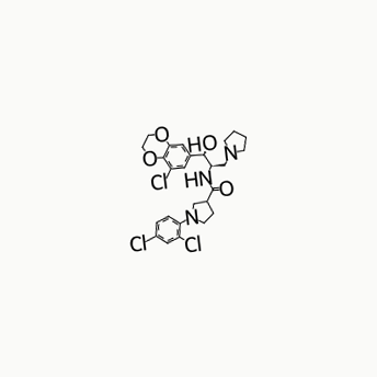 O=C(N[C@H](CN1CCCC1)[C@H](O)c1cc(Cl)c2c(c1)OCCO2)C1CCN(c2ccc(Cl)cc2Cl)C1